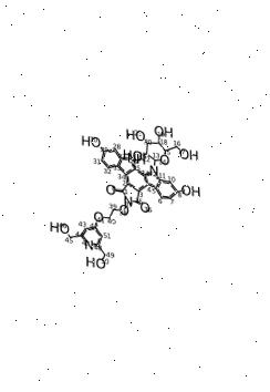 O=C1c2c(c3c4ccc(O)cc4n(C4OC(CO)C(O)C(O)C4O)c3c3[nH]c4cc(O)ccc4c23)C(=O)N1OCCOc1cc(CO)nc(CO)c1